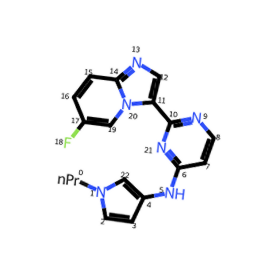 CCCn1ccc(Nc2ccnc(-c3cnc4ccc(F)cn34)n2)c1